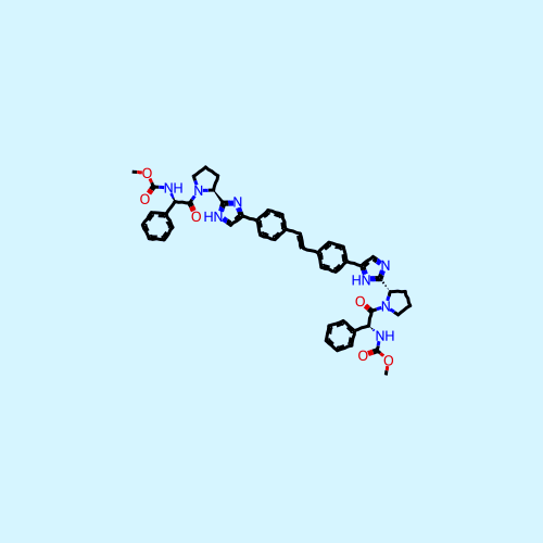 COC(=O)N[C@@H](C(=O)N1CCC[C@H]1c1nc(-c2ccc(/C=C/c3ccc(-c4cnc([C@@H]5CCCN5C(=O)[C@H](NC(=O)OC)c5ccccc5)[nH]4)cc3)cc2)c[nH]1)c1ccccc1